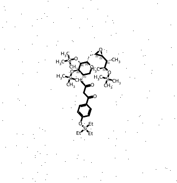 CC[Si](CC)(CC)Oc1ccc(C(=O)CC(=O)C[C@H]2CO[C@@H](C[C@@H]3O[C@H]3[C@H](C)[C@H](C)O[Si](C)(C)C)[C@@H](O[Si](C)(C)C)[C@@H]2O[Si](C)(C)C)cc1